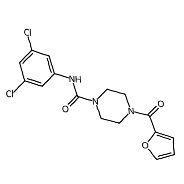 O=C(Nc1cc(Cl)cc(Cl)c1)N1CCN(C(=O)c2ccco2)CC1